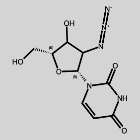 [N-]=[N+]=NC1C(O)[C@@H](CO)O[C@H]1n1ccc(=O)[nH]c1=O